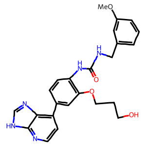 COc1cccc(CNC(=O)Nc2ccc(-c3ccnc4[nH]cnc34)cc2OCCCO)c1